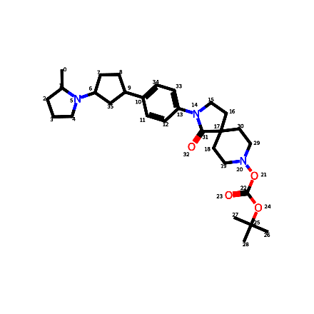 CC1CCCN1C1CCC(c2ccc(N3CCC4(CCN(OC(=O)OC(C)(C)C)CC4)C3=O)cc2)C1